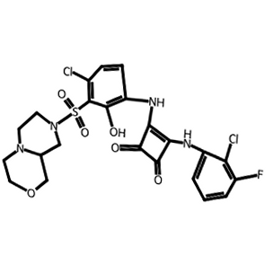 O=c1c(Nc2ccc(Cl)c(S(=O)(=O)N3CCN4CCOCC4C3)c2O)c(Nc2cccc(F)c2Cl)c1=O